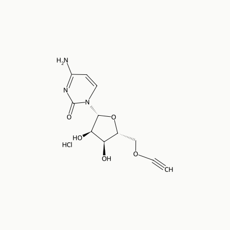 C#COC[C@H]1O[C@@H](n2ccc(N)nc2=O)[C@H](O)[C@@H]1O.Cl